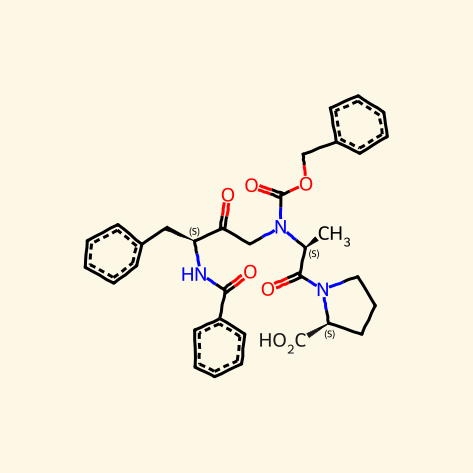 C[C@@H](C(=O)N1CCC[C@H]1C(=O)O)N(CC(=O)[C@H](Cc1ccccc1)NC(=O)c1ccccc1)C(=O)OCc1ccccc1